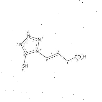 O=C(O)CC=Cn1nnnc1S